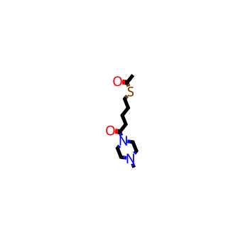 CC(=O)SCCCCC(=O)N1CCN(C)CC1